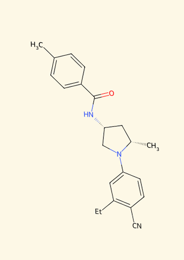 CCc1cc(N2C[C@H](NC(=O)c3ccc(C)cc3)C[C@@H]2C)ccc1C#N